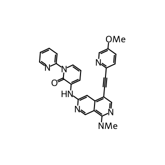 CNc1ncc(C#Cc2ccc(OC)cn2)c2cc(Nc3cccn(-c4ccccn4)c3=O)ncc12